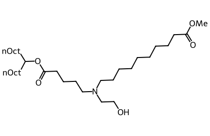 CCCCCCCCC(CCCCCCCC)OC(=O)CCCCN(CCO)CCCCCCCCCC(=O)OC